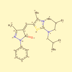 CCCCC(CC)CN(CC(CC)CCCC)c1nc(C(C)(C)C)c(/C=C2\C(=O)N(c3ccccc3)N=C2C)s1